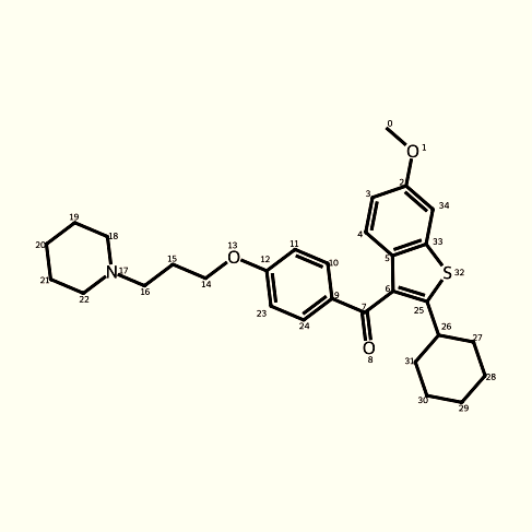 COc1ccc2c(C(=O)c3ccc(OCCCN4CCCCC4)cc3)c(C3CCCCC3)sc2c1